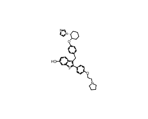 Oc1ccc2c(Cc3ccc(O[C@@H]4CCCC[C@H]4n4ccnc4)cc3)c(-c3ccc(OCCN4CCCC4)cc3)sc2c1